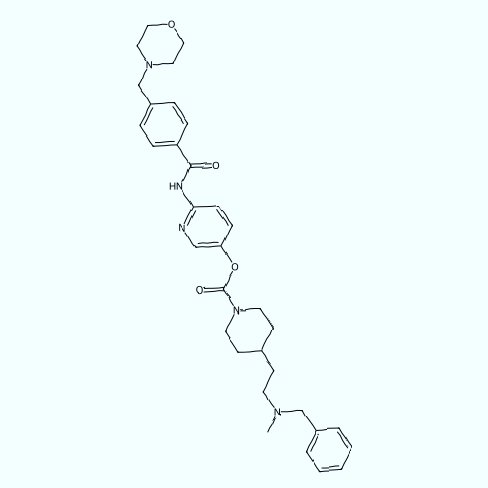 CN(CCC1CCN(C(=O)Oc2ccc(NC(=O)c3ccc(CN4CCOCC4)cc3)nc2)CC1)Cc1ccccc1